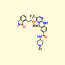 CCN1CCC(NC(=O)c2ccc(Nc3ncc(C(F)(F)F)c(OCCc4cccc5c4C(=O)N(C)C5)n3)c(OC)c2)CC1